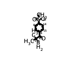 BC(C)(C)C(=O)c1ccc(S(C)(=O)=O)cc1